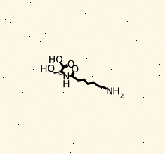 NCCCCCCC(=O)N[C@@H](CO)C(=O)O